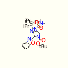 CC(C)[Si](c1nc2c(n1S(=O)(=O)N(C)C)CN(C(=O)OC(C)(C)C)C2c1nc2ccccc2o1)(C(C)C)C(C)C